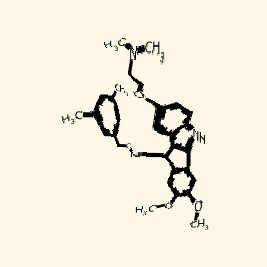 COc1cc2c(cc1OC)-c1[nH]c3ccc(OCCN(C)C)cc3c1C2=NOCc1cc(C)cc(C)c1